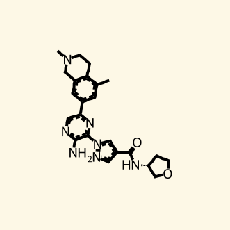 Cc1cc(-c2cnc(N)c(-n3cc(C(=O)N[C@@H]4CCOC4)cn3)n2)cc2c1CCN(C)C2